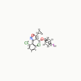 Clc1cccc(Cl)c1-c1noc(C2CC2)c1COC12CCC(I)(CC1)CC2